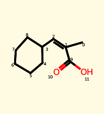 CC(=CC1CCCCC1)C(=O)O